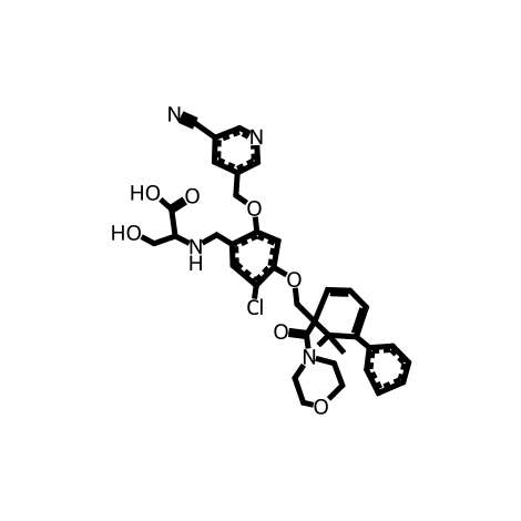 CC1(C)C(c2ccccc2)=CC=CC1(COc1cc(OCc2cncc(C#N)c2)c(CNC(CO)C(=O)O)cc1Cl)C(=O)N1CCOCC1